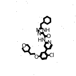 O=C(Nc1cc(-c2cc(OCCC3CCOCC3)ccc2Cl)ccn1)c1nnc(CC2CCCCC2)[nH]1